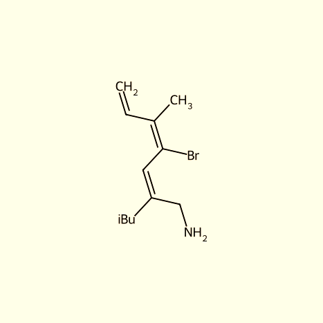 C=C/C(C)=C(Br)\C=C(/CN)C(C)CC